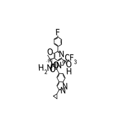 C[C@]1(C(N)=O)COc2c1cc([C@](O)(CNC(=O)c1ccc3nnc(C4CC4)cc3c1)C(F)(F)F)nc2-c1ccc(F)cc1